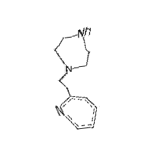 [c]1ccnc(CN2CCNCC2)c1